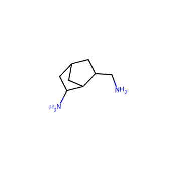 NCC1CC2CC(N)C1C2